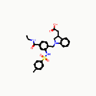 CCNC(=O)c1ccc(CN2CC(CC(=O)O)c3ccccc32)c(NS(=O)(=O)c2ccc(C)cc2)c1